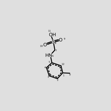 Cc1cccc(NCS(=O)(=O)O)c1